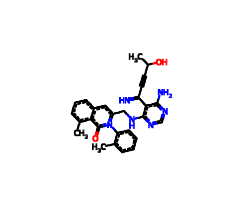 Cc1ccccc1-n1c(CNc2ncnc(N)c2C(=N)C#CC(C)O)cc2cccc(C)c2c1=O